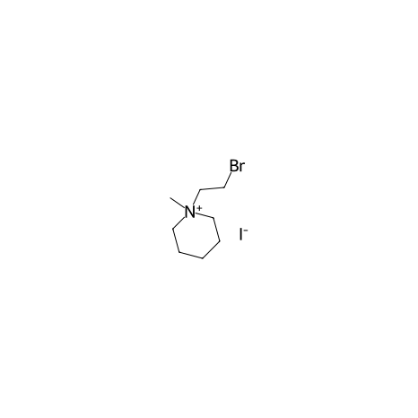 C[N+]1(CCBr)CCCCC1.[I-]